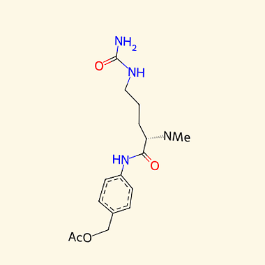 CN[C@@H](CCCNC(N)=O)C(=O)Nc1ccc(COC(C)=O)cc1